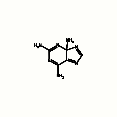 NC1=NC2(N)N=CN=C2C(N)=N1